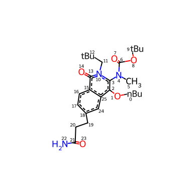 CCCCOc1c(N(C)C(=O)OC(C)(C)C)n(CC(C)(C)C)c(=O)c2ccc(CCC(N)=O)cc12